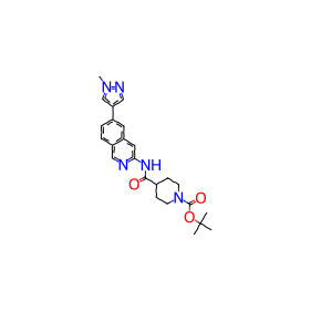 Cn1cc(-c2ccc3cnc(NC(=O)C4CCN(C(=O)OC(C)(C)C)CC4)cc3c2)cn1